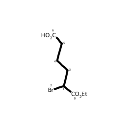 CCOC(=O)C(Br)CCCC(=O)O